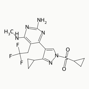 CNc1nc(N)nc(-c2cn(S(=O)(=O)C3CC3)nc2C2CC2)c1CC(F)(F)F